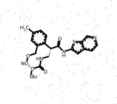 [CH2]c1ccc([C@@H](CNC(=O)OC(C)(C)C)C(=O)Nc2cc3ccncc3s2)c([CH]O[N+](=O)[O-])c1